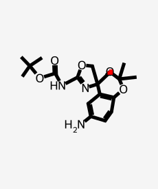 CC(C)(C)OC(=O)NC1=NC2(CO1)c1cc(N)ccc1OC(C)(C)C21COC1